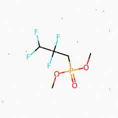 COP(=O)(CC(F)(F)C(F)F)OC